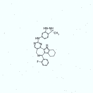 C[C@H]1NNc2cc(Nc3ncc4c(n3)-c3[nH]c5c(c3C(c3ccccc3F)=NC4)CCCC5)ccc21